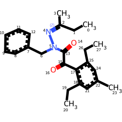 CC/C(C)=N\N(Cc1ccccc1)C(=O)C(=O)c1c(CC)cc(C)cc1CC